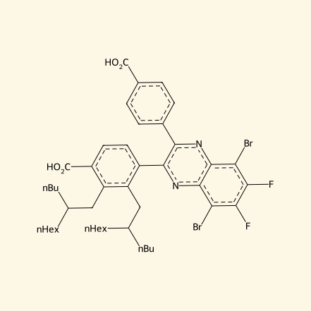 CCCCCCC(CCCC)Cc1c(C(=O)O)ccc(-c2nc3c(Br)c(F)c(F)c(Br)c3nc2-c2ccc(C(=O)O)cc2)c1CC(CCCC)CCCCCC